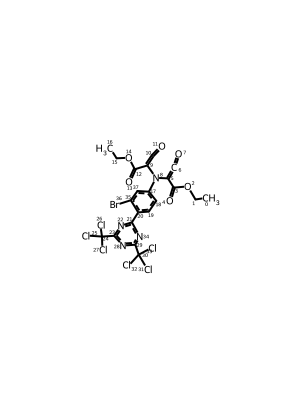 CCOC(=O)C(=C=O)N(C(=C=O)C(=O)OCC)c1ccc(-c2nc(C(Cl)(Cl)Cl)nc(C(Cl)(Cl)Cl)n2)c(Br)c1